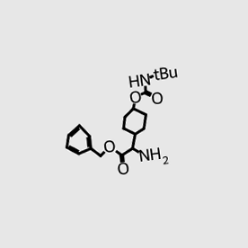 CC(C)(C)NC(=O)OC1CCC(C(N)C(=O)OCc2ccccc2)CC1